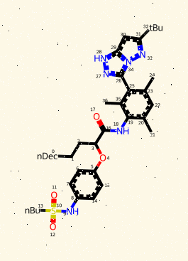 CCCCCCCCCCCCC(Oc1ccc(NS(=O)(=O)CCCC)cc1)C(=O)Nc1c(C)cc(C)c(-c2n[nH]c3cc(C(C)(C)C)nn23)c1C